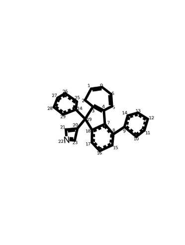 C1=CCC2=C(C=C1)c1c(-c3ccccc3)cccc1C2(C1=CN=C1)c1ccccc1